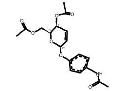 CC(=O)Nc1ccc(O[C@@H]2C=C[C@H](OC(C)=O)[C@H](COC(C)=O)O2)cc1